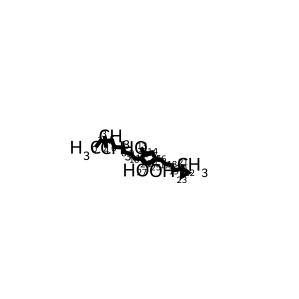 CCC(C)(C)CCCCCCc1c(O)cc(CCCCC2(C)CC2)c(O)c1O